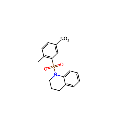 Cc1ccc([N+](=O)[O-])cc1S(=O)(=O)N1CCCc2ccccc21